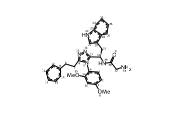 COc1ccc(-n2c(CCc3ccccc3)nnc2[C@@H](Cc2c[nH]c3ccccc23)NC(=O)CN)c(OC)c1